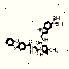 C[C@@]12C[C@@H]1N(C(=O)CNC(=O)c1ccc3c(c1)Oc1ccccc1S3)[C@H](C(=O)NCc1cc3cc(B(O)O)ccc3[nH]1)C2